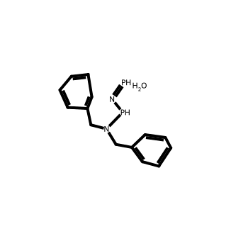 O.P=NPN(Cc1ccccc1)Cc1ccccc1